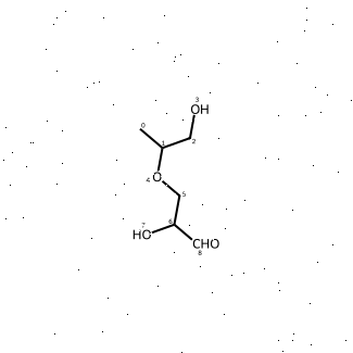 CC(CO)OCC(O)C=O